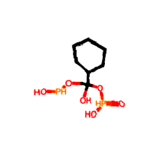 O=[PH](O)OC(O)(OPO)C1CCCCC1